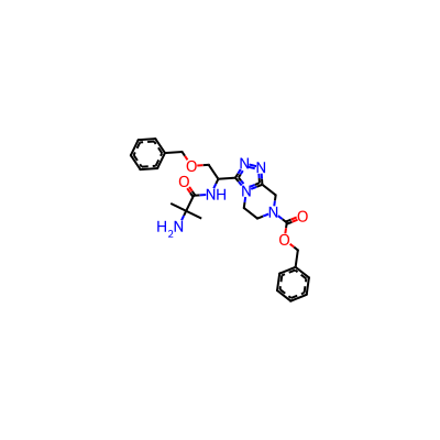 CC(C)(N)C(=O)NC(COCc1ccccc1)c1nnc2n1CCN(C(=O)OCc1ccccc1)C2